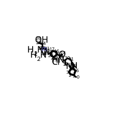 Cc1ccc2c(c1)nc1n2CC(NC(=O)c2ccc(N(N)/C=C(\N)CCO)cc2Cl)CC1